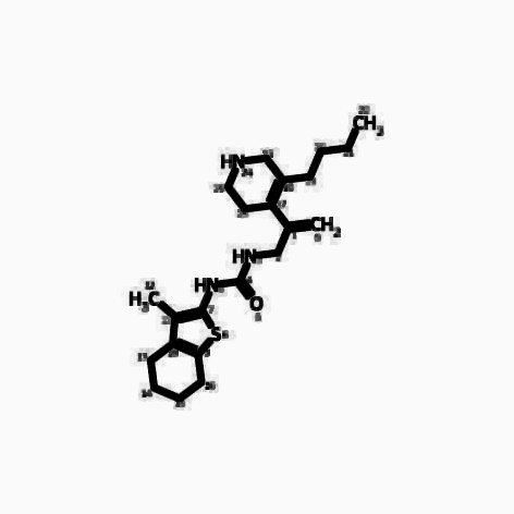 C=C(CNC(=O)Nc1sc2c(c1C)CCCC2)C1=C(CCCC)CNCC1